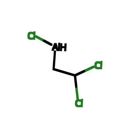 [Cl][AlH][CH2]C(Cl)Cl